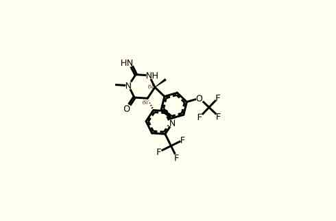 CN1C(=N)N[C@](C)(c2cccc(OC(F)(F)F)c2)[C@H](c2ccc(C(F)(F)F)nc2)C1=O